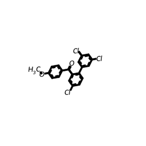 COc1ccc(C(=O)c2cc(Cl)ccc2-c2cc(Cl)cc(Cl)c2)cc1